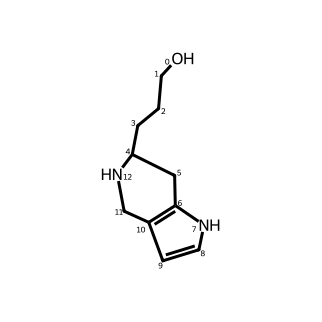 OCCCC1Cc2[nH]ccc2CN1